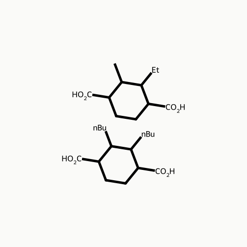 CCC1C(C(=O)O)CCC(C(=O)O)C1C.CCCCC1C(C(=O)O)CCC(C(=O)O)C1CCCC